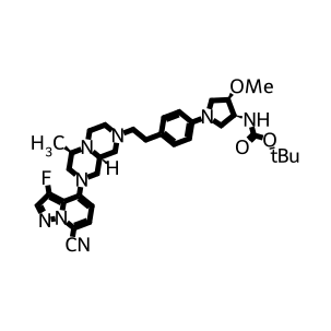 CO[C@@H]1CN(c2ccc(CCN3CCN4[C@@H](C3)CN(c3ccc(C#N)n5ncc(F)c35)C[C@H]4C)cc2)C[C@H]1NC(=O)OC(C)(C)C